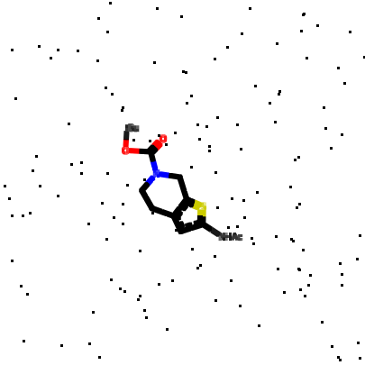 CC(=O)Nc1cc2c(s1)CN(C(=O)OC(C)(C)C)CC2